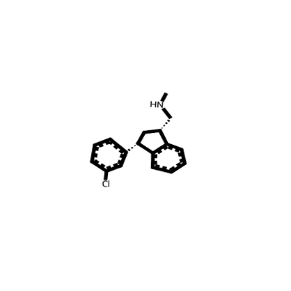 CNC[C@H]1C[C@@H](c2cccc(Cl)c2)c2ccccc21